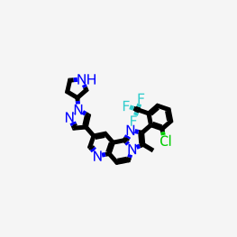 Cc1c(-c2c(Cl)cccc2C(F)(F)F)nc2c3cc(-c4cnn(C5CCNC5)c4)cnc3ccn12